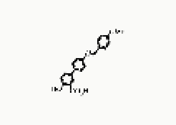 COc1ccc(COc2ccc(-c3ccc(O)c(C(=O)O)c3)cc2)cc1